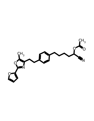 CC(=O)OC(C#N)CCCCc1ccc(CCc2nc(-c3ccco3)oc2C)cc1